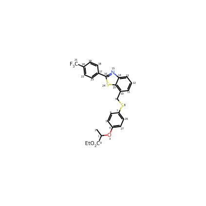 CCOC(=O)C(C)Oc1ccc(SCc2cccc3nc(-c4ccc(C(F)(F)F)cc4)sc23)cc1